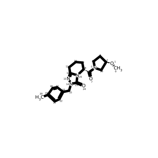 CO[C@H]1CCN(C(=O)[C@H]2CCCc3nn(Cc4ccc(C)cc4)c(=O)n32)C1